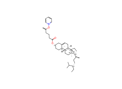 C=C(CCCC(=O)O[C@H]1CC[C@@]2(C)C(=CC[C@H]3[C@@H]4CC[C@H]([C@@H](C)CC[C@H](CC)C(C)C)[C@@]4(C)CC[C@@H]32)C1)O[n+]1ccccc1